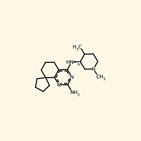 CC1CCN(C)C[C@H]1Nc1nc(N)nc2c1CCCC21CCCC1